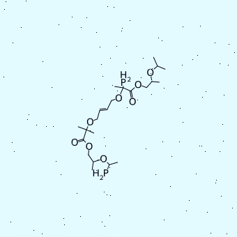 CC(C)OC(C)COC(=O)C(C)(P)OC/C=C/COC(C)(C)C(=O)OCC(C)OC(C)P